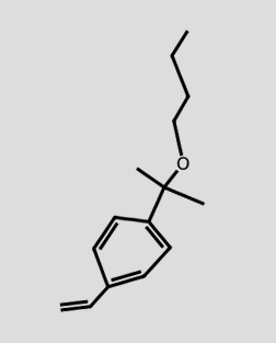 C=Cc1ccc(C(C)(C)OCCCC)cc1